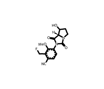 COc1c(N2C(=O)[C@@H]3C(O)CCN3C2=O)ccc(C#N)c1CF